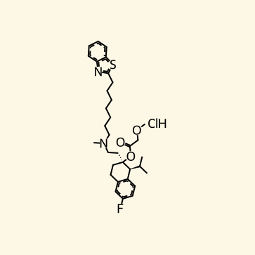 COCC(=O)O[C@]1(CCN(C)CCCCCCCc2nc3ccccc3s2)CCc2cc(F)ccc2[C@@H]1C(C)C.Cl